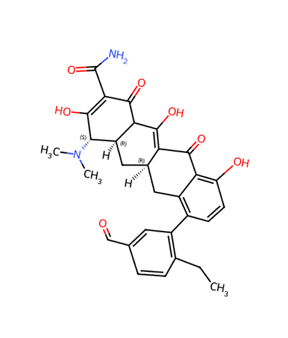 CCc1ccc(C=O)cc1-c1ccc(O)c2c1C[C@H]1C[C@@H]3C(C(=O)C(C(N)=O)=C(O)[C@H]3N(C)C)C(O)=C1C2=O